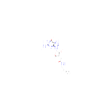 COCCNC(=O)CC1[C@@H](O)C(n2c[n+](C)c3c(=O)[nH]c(N)nc32)O[C@@H]1C